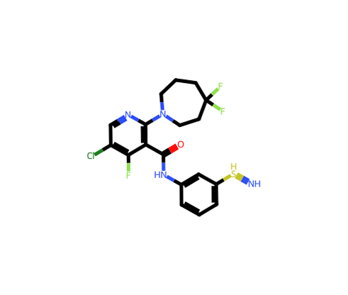 N=[SH]c1cccc(NC(=O)c2c(N3CCCC(F)(F)CC3)ncc(Cl)c2F)c1